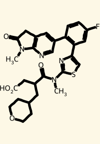 CN(C(=O)C(CC(=O)O)CC1CCOCC1)c1nc(-c2cc(F)ccc2-c2cnc3c(c2)CC(=O)N3C)cs1